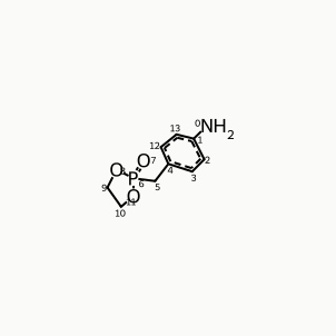 Nc1ccc(CP2(=O)OCCO2)cc1